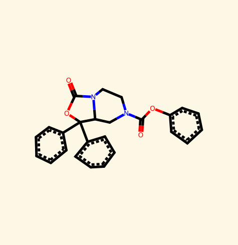 O=C(Oc1ccccc1)N1CCN2C(=O)OC(c3ccccc3)(c3ccccc3)C2C1